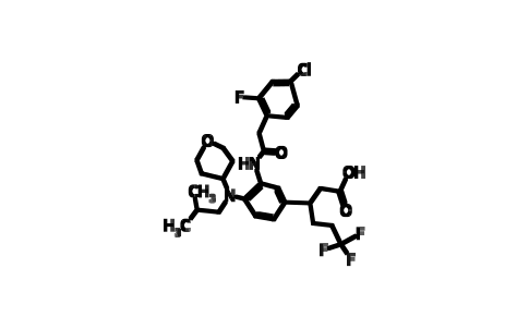 CC(C)CN(c1ccc(C(CCC(F)(F)F)CC(=O)O)cc1NC(=O)Cc1ccc(Cl)cc1F)C1CCOCC1